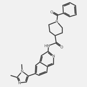 Cc1ncc(-c2ccc3cnc(NC(=O)C4CCN(C(=O)c5ccccc5)CC4)cc3c2)n1C